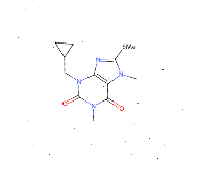 CSc1nc2c(c(=O)n(C)c(=O)n2CC2CC2)n1C